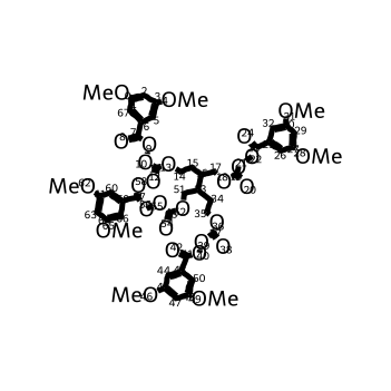 COc1cc(OC)cc(C(=O)OOC(=O)OCCC(COC(=O)OOC(=O)c2cc(OC)cc(OC)c2)C(CCOC(=O)OOC(=O)c2cc(OC)cc(OC)c2)COC(=O)OOC(=O)c2cc(OC)cc(OC)c2)c1